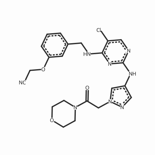 N#CCOc1cccc(CNc2nc(Nc3cnn(CC(=O)N4CCOCC4)c3)ncc2Cl)c1